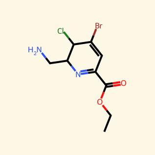 CCOC(=O)C1=NC(CN)C(Cl)C(Br)=C1